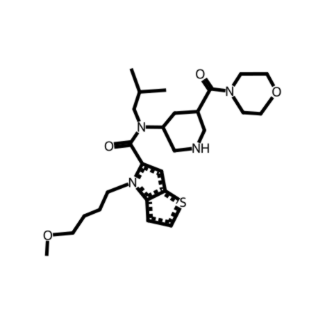 COCCCCn1c(C(=O)N(CC(C)C)C2CNCC(C(=O)N3CCOCC3)C2)cc2sccc21